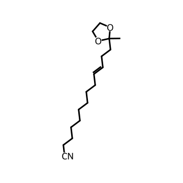 CC1(CCC=CCCCCCCCCC#N)OCCO1